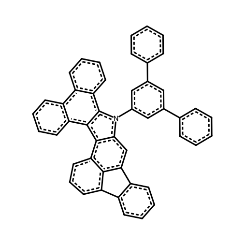 c1ccc(-c2cc(-c3ccccc3)cc(-n3c4cc5c6c(cccc6c4c4c6ccccc6c6ccccc6c43)-c3ccccc3-5)c2)cc1